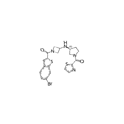 O=C(c1cc2ccc(Br)cc2s1)N1CC(N[C@H]2CCN(C(=O)c3nccs3)C2)C1